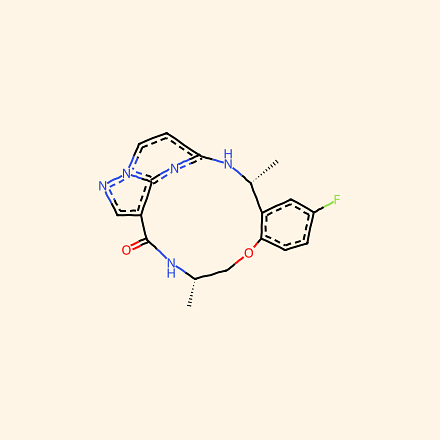 C[C@H]1COc2ccc(F)cc2[C@@H](C)Nc2ccn3ncc(c3n2)C(=O)N1